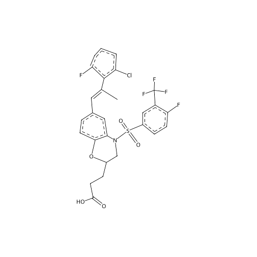 CC(=Cc1ccc2c(c1)N(S(=O)(=O)c1ccc(F)c(C(F)(F)F)c1)CC(CCC(=O)O)O2)c1c(F)cccc1Cl